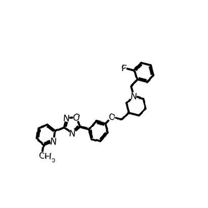 Cc1cccc(-c2noc(-c3cccc(OCC4CCCN(Cc5ccccc5F)C4)c3)n2)n1